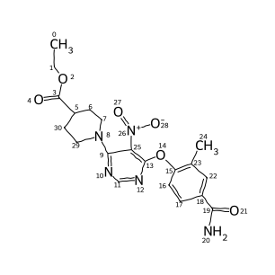 CCOC(=O)C1CCN(c2ncnc(Oc3ccc(C(N)=O)cc3C)c2[N+](=O)[O-])CC1